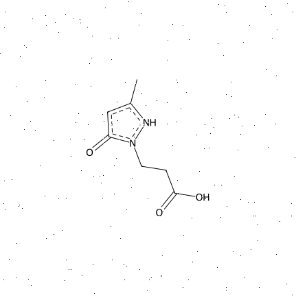 Cc1cc(=O)n(CCC(=O)O)[nH]1